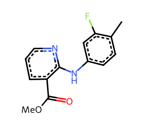 COC(=O)c1cccnc1Nc1ccc(C)c(F)c1